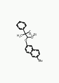 CCOC(Oc1ccc2cc(C(C)CC)ccc2c1)C(C)(C)c1ccccc1